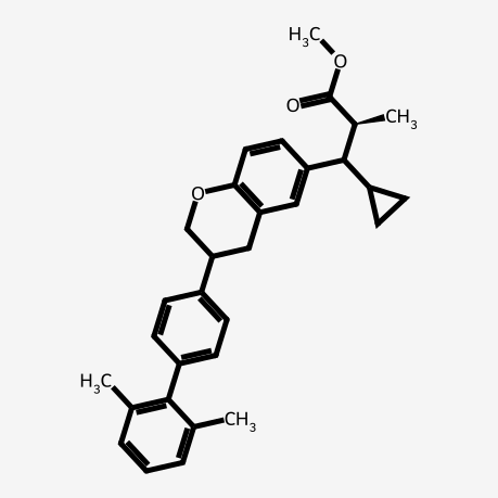 COC(=O)[C@@H](C)C(c1ccc2c(c1)CC(c1ccc(-c3c(C)cccc3C)cc1)CO2)C1CC1